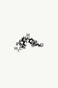 Cc1ncc(-c2nc(NC3CCN(S(=O)(=O)CCCCl)CC3)ncc2F)n1C(C)C